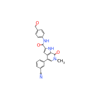 Cn1cc(-c2cccc(C#N)c2)c2cc(C(=O)Nc3ccc(C=O)cc3)[nH]c2c1=O